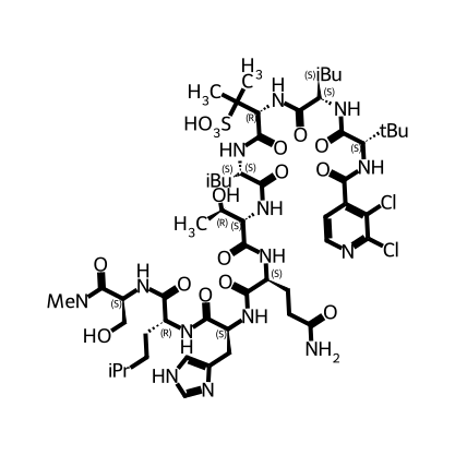 CC[C@H](C)[C@H](NC(=O)[C@@H](NC(=O)c1ccnc(Cl)c1Cl)C(C)(C)C)C(=O)N[C@H](C(=O)N[C@H](C(=O)N[C@H](C(=O)N[C@@H](CCC(N)=O)C(=O)N[C@@H](Cc1c[nH]cn1)C(=O)N[C@H](CCC(C)C)C(=O)N[C@@H](CO)C(=O)NC)[C@@H](C)O)[C@@H](C)CC)C(C)(C)S(=O)(=O)O